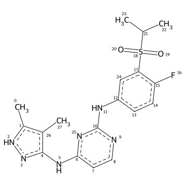 Cc1[nH]nc(Nc2ccnc(Nc3ccc(F)c(S(=O)(=O)C(C)C)c3)n2)c1C